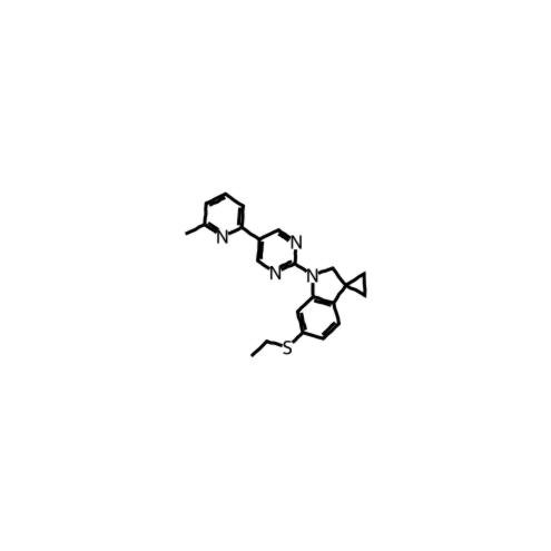 CCSc1ccc2c(c1)N(c1ncc(-c3cccc(C)n3)cn1)CC21CC1